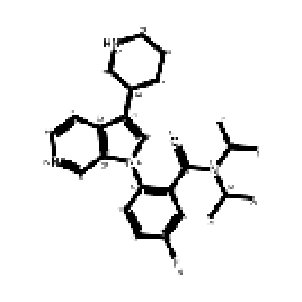 CC(C)N(C(=O)c1cc(F)ccc1-n1cc(C2CCCNC2)c2ccncc21)C(C)C